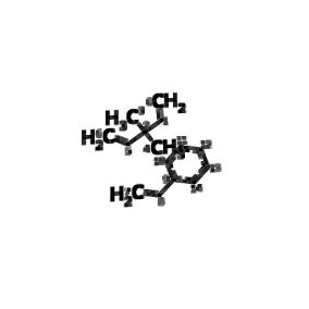 C=CC(C)(C)C=C.C=Cc1ccccc1